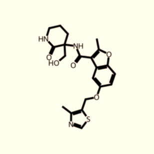 Cc1ncsc1COc1ccc2oc(C)c(C(=O)NC3(CO)CCCNC3=O)c2c1